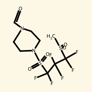 CS(=O)(=O)C(F)(F)C(F)(F)C(F)(F)S(=O)(=O)N1CCN(C=O)CC1